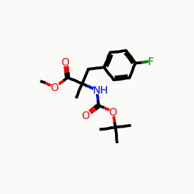 COC(=O)C(C)(Cc1ccc(F)cc1)NC(=O)OC(C)(C)C